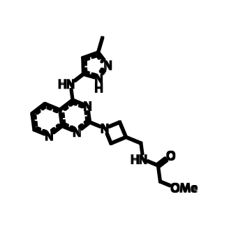 COCC(=O)NCC1CN(c2nc(Nc3cc(C)n[nH]3)c3cccnc3n2)C1